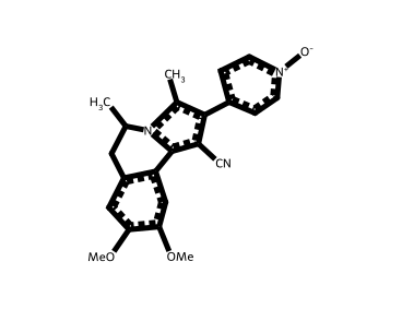 COc1cc2c(cc1OC)-c1c(C#N)c(-c3cc[n+]([O-])cc3)c(C)n1C(C)C2